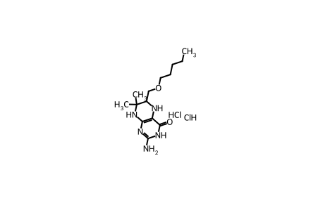 CCCCCOCC1Nc2c(nc(N)[nH]c2=O)NC1(C)C.Cl.Cl